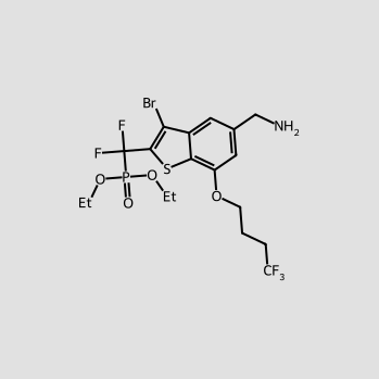 CCOP(=O)(OCC)C(F)(F)c1sc2c(OCCCC(F)(F)F)cc(CN)cc2c1Br